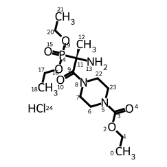 CCOC(=O)N1CCN(C(=O)[C@@](C)(N)P(=O)(OCC)OCC)CC1.Cl